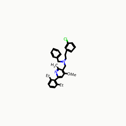 CCc1cccc(CC)c1-c1cc(OC)c(CN(CCc2cccc(Cl)c2)Cc2ccccc2)c(C)n1